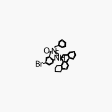 O=C1c2cc(Br)ccc2NSN1Cc1ccccc1.c1ccc2c(c1)ccc1c3c(ccc12)CCCC3